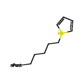 CCCCCCCCCC[SH]1C=CC=C1